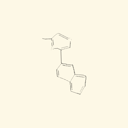 Cc1cncc(-c2ccc3ccccc3c2)n1